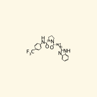 O=C(Nc1ccc(C(F)(F)F)cc1)[C@@H]1CCCN1C(=O)[C@@H]1C[C@H]1c1nc2ccccc2[nH]1